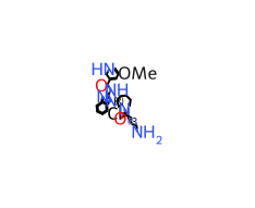 COC1=CNCC(C(=O)Nc2nc3cccc(C)c3n2[C@@H]2CCCCN(C(=O)/C=C/CN)C2)=C1